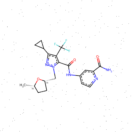 C[C@H]1CC[C@@H](Cn2nc(C3CC3)c(C(F)(F)F)c2C(=O)Nc2ccnc(C(N)=O)c2)O1